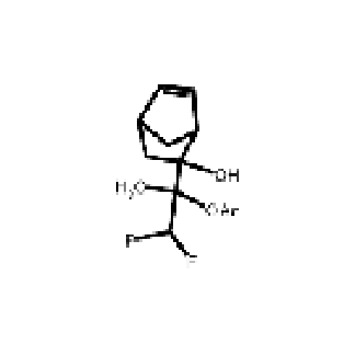 CC(=O)OC(C)(C(F)F)C1(O)CC2C=CC1C2